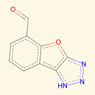 O=Cc1cccc2c1oc1nn[nH]c12